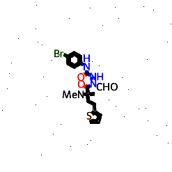 CNC(C)(CCc1cccs1)C(=O)N(C=O)NC(=O)Nc1ccc(Br)cc1